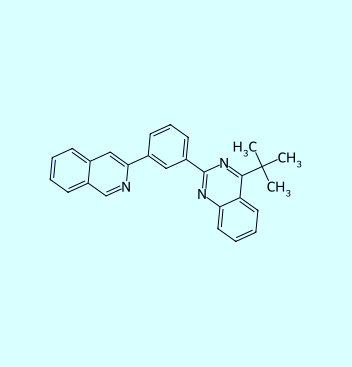 CC(C)(C)c1nc(-c2cccc(-c3cc4ccccc4cn3)c2)nc2ccccc12